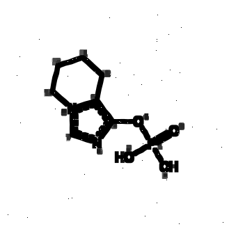 O=P(O)(O)Oc1ncn2c1CCCC2